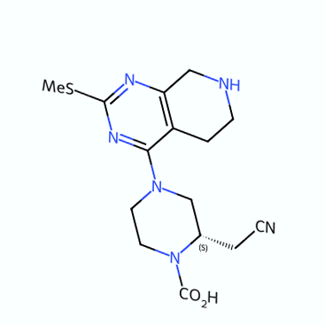 CSc1nc2c(c(N3CCN(C(=O)O)[C@@H](CC#N)C3)n1)CCNC2